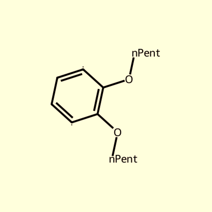 CCCCCOc1[c]cc[c]c1OCCCCC